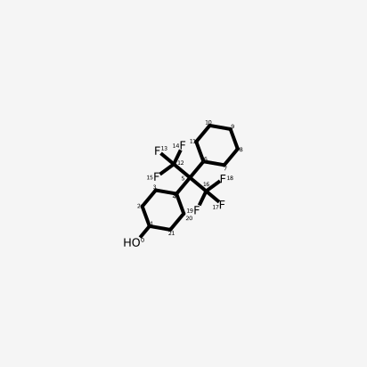 OC1CCC(C(C2CCCCC2)(C(F)(F)F)C(F)(F)F)CC1